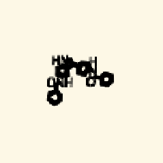 O=C(Nc1ccc(-c2c[nH]c3ccc(NC(=O)C4CCCCC4)cc23)cc1)C1CCCCC1